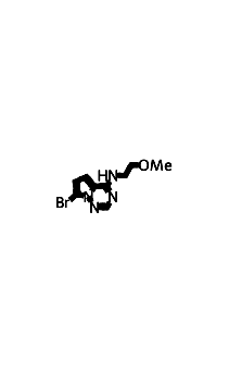 COCCNc1ncnn2c(Br)ccc12